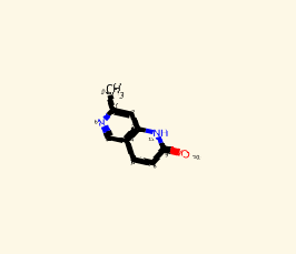 Cc1cc2c(cn1)CCC(=O)N2